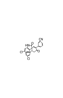 N#Cc1cccc(C2=C[C@@]3(C(=O)Nc4cc(Cl)ccc43)[C@H](c3cccc(Cl)c3)CC2=O)c1